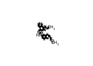 CCn1cc(-c2ccnc(Nc3ccc4c(c3)CCN(CCOC)C4)n2)c(-c2cccnc2)n1